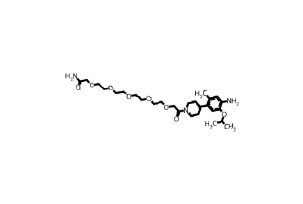 Cc1cc(N)c(OC(C)C)cc1C1CCN(C(=O)COCCOCCOCCOCCOCC(N)=O)CC1